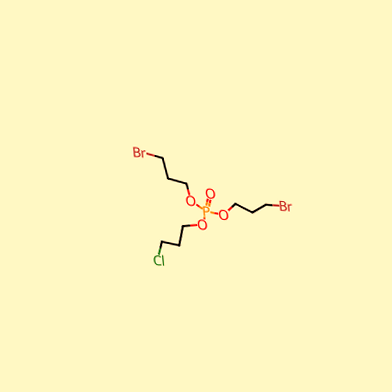 O=P(OCCCCl)(OCCCBr)OCCCBr